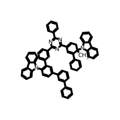 CC1(n2c3ccccc3c3ccccc32)CC=C(c2nc(-c3ccccc3)nc(-c3cccc(-c4cc(-c5cccc(-c6ccccc6)c5)ccc4-n4c5ccccc5c5ccccc54)c3)n2)C=C1C1=CCCC=C1